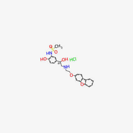 CS(=O)(=O)Nc1cc([C@@H](O)CNCCOc2ccc3c(c2)oc2ccccc23)ccc1O.Cl